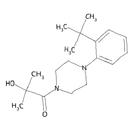 CC(C)(O)C(=O)N1CCN(c2ccccc2C(C)(C)C)CC1